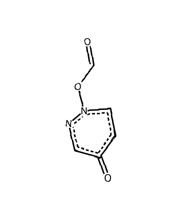 O=COn1ccc(=O)cn1